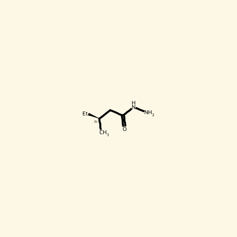 CC[C@H](C)CC(=O)NN